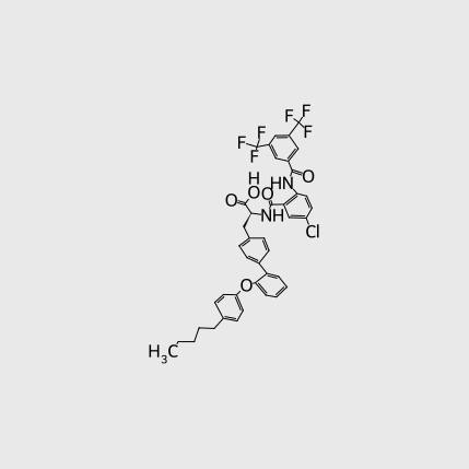 CCCCCc1ccc(Oc2ccccc2-c2ccc(C[C@H](NC(=O)c3cc(Cl)ccc3NC(=O)c3cc(C(F)(F)F)cc(C(F)(F)F)c3)C(=O)O)cc2)cc1